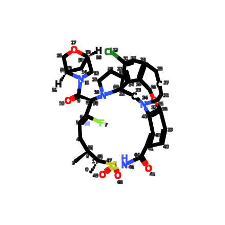 C[C@@H]1[C@@H](C)C/C=C(\F)[C@@H](C(=O)N2C[C@H]3C[C@@H]2CO3)N2CCC[C@@]23CN2CCCCc4cc(Cl)cc3c4COc3ccc(cc32)C(=O)NS1(=O)=O